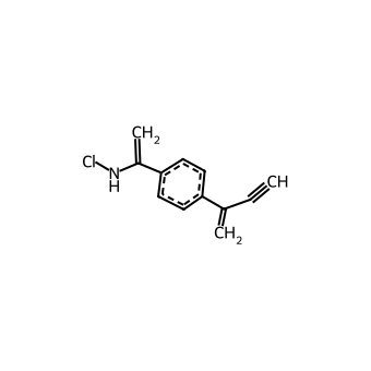 C#CC(=C)c1ccc(C(=C)NCl)cc1